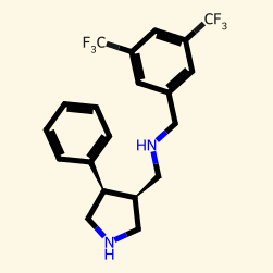 FC(F)(F)c1cc(CNC[C@H]2CNC[C@H]2c2ccccc2)cc(C(F)(F)F)c1